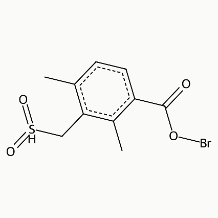 Cc1ccc(C(=O)OBr)c(C)c1C[SH](=O)=O